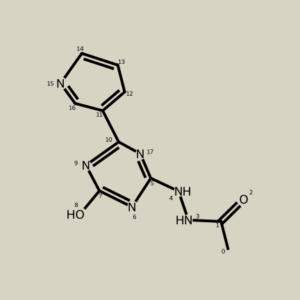 CC(=O)NNc1nc(O)nc(-c2cccnc2)n1